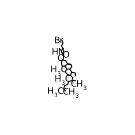 CC(C)CCC[C@@H](C)[C@H]1CCC2C3CC=C4C[C@@H](OC(=O)NCCCBr)CC[C@]4(C)C3CC[C@@]21C